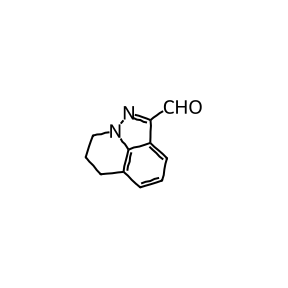 O=Cc1nn2c3c(cccc13)CCC2